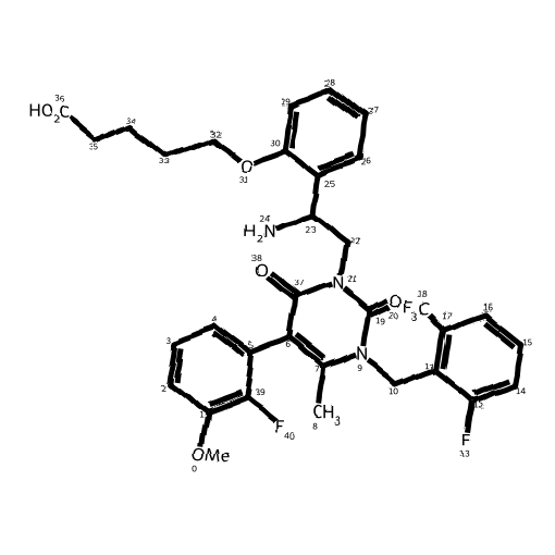 COc1cccc(-c2c(C)n(Cc3c(F)cccc3C(F)(F)F)c(=O)n(CC(N)c3ccccc3OCCCCC(=O)O)c2=O)c1F